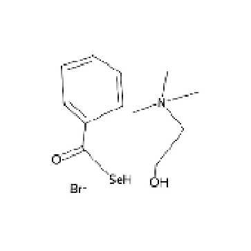 C[N+](C)(C)CCO.O=C([SeH])c1ccccc1.[Br-]